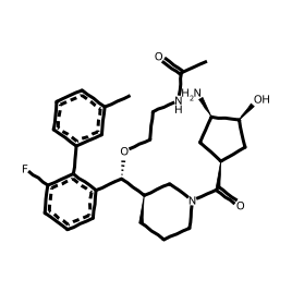 CC(=O)NCCO[C@@H](c1cccc(F)c1-c1cccc(C)c1)[C@@H]1CCCN(C(=O)[C@H]2C[C@@H](N)[C@@H](O)C2)C1